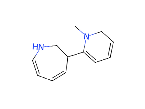 CN1CC=CC=C1C1C=CC=CNC1